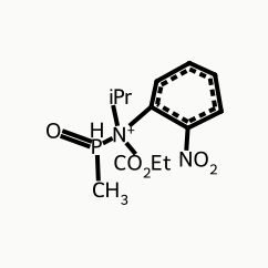 CCOC(=O)[N+](c1ccccc1[N+](=O)[O-])(C(C)C)[PH](C)=O